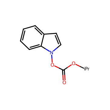 CC(C)OC(=O)On1ccc2ccccc21